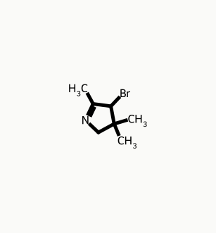 CC1=NCC(C)(C)C1Br